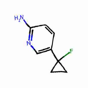 Nc1ccc(C2(F)CC2)cn1